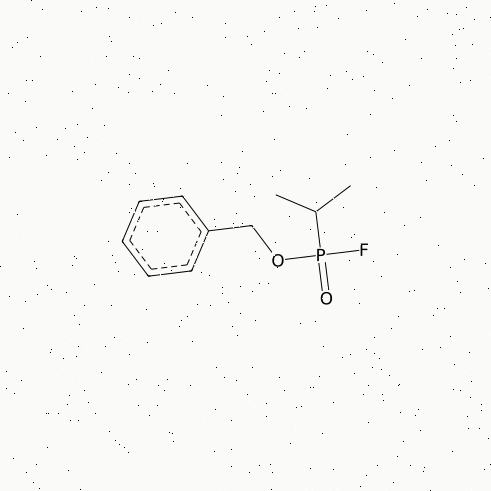 CC(C)P(=O)(F)OCc1ccccc1